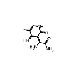 CC1=CNC(=O)/C(=C(/N)C(N)=O)C1=N